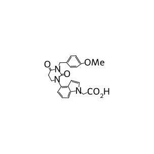 COc1ccc(CN2C(=O)CCN(c3cccc4c3ccn4CC(=O)O)C2=O)cc1